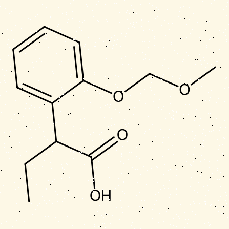 CCC(C(=O)O)c1ccccc1OCOC